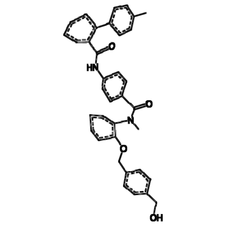 Cc1ccc(-c2ccccc2C(=O)Nc2ccc(C(=O)N(C)c3ccccc3OCc3ccc(CO)cc3)cc2)cc1